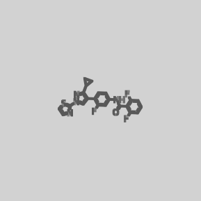 O=C(Nc1ccc(-c2cn(-c3nccs3)nc2C2CC2)c(F)c1)c1c(F)cccc1F